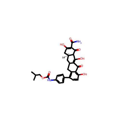 CC(C)COC(=O)Nc1ccc(-c2ccc(O)c3c2CC2C[C@H]4CC(O)=C(C(N)=O)C(=O)C4C(O)=C2C3=O)cc1